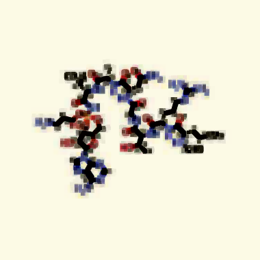 CSCC[C@H](NC=O)C(=O)N[C@@H](CCCN=C(N)N)C(=O)N[C@H](C(=O)NCC(=O)N[C@@H](CC(N)=O)C(=O)N[C@@H](C)C(=O)N[C@@H](CC(=O)O)C(=O)NP(=O)(OCCCN)OC[C@H]1O[C@@H](n2cnc3c(N)ncnc32)[C@H](O)[C@@H]1O)[C@@H](C)O